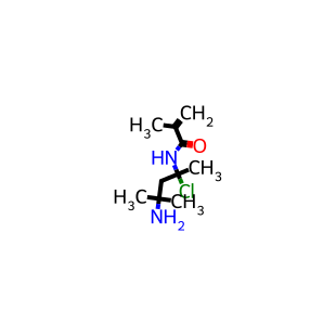 C=C(C)C(=O)NC(C)(Cl)CC(C)(C)N